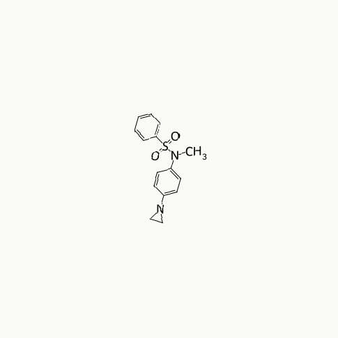 CN(c1ccc(N2CC2)cc1)S(=O)(=O)c1ccccc1